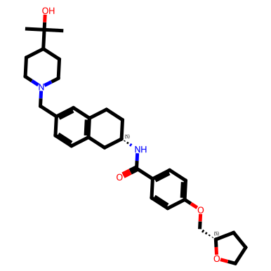 CC(C)(O)C1CCN(Cc2ccc3c(c2)CC[C@H](NC(=O)c2ccc(OC[C@@H]4CCCO4)cc2)C3)CC1